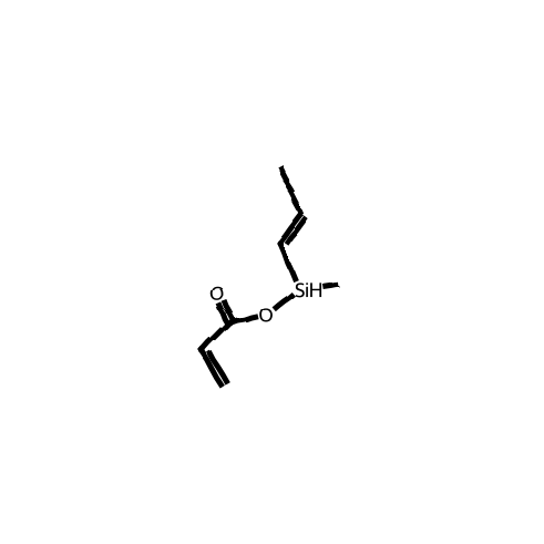 C=CC(=O)O[SiH](C)C=CC